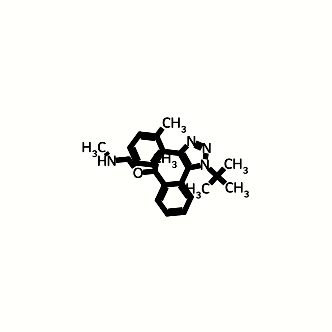 CNCOC(C)c1ccccc1-c1c(-c2ccccc2C)nnn1C(C)(C)C